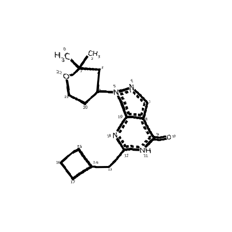 CC1(C)CC(n2ncc3c(=O)[nH]c(CC4CCC4)nc32)CCO1